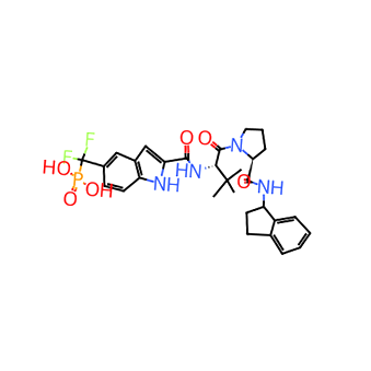 CC(C)(C)[C@H](NC(=O)c1cc2cc(C(F)(F)P(=O)(O)O)ccc2[nH]1)C(=O)N1CCC[C@H]1C(=O)NC1CCc2ccccc21